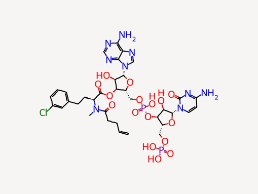 C=CCCC(=O)N(C)[C@@H](CCc1cccc(Cl)c1)C(=O)O[C@H]1[C@@H](O)[C@H](n2cnc3c(N)ncnc32)O[C@@H]1COP(=O)(O)O[C@H]1[C@@H](O)[C@H](n2ccc(N)nc2=O)O[C@@H]1COP(=O)(O)O